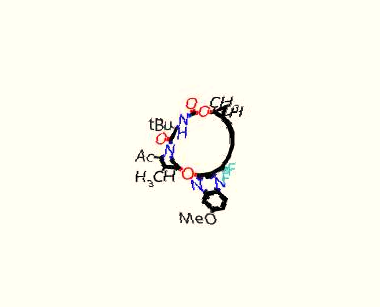 COc1ccc2nc3c(nc2c1)O[C@H]1CN(C(=O)[C@H](C(C)(C)C)NC(=O)O[C@]2(C)C[C@H]2CCCCC3(F)F)[C@H](C(C)=O)[C@@H]1C